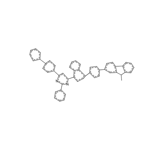 CC1c2ccccc2-c2ccc(-c3ccc(-c4ccc(-c5cc(-c6ccc(-c7ccccc7)cc6)nc(-c6ccccc6)n5)c5ccccc45)cc3)cc21